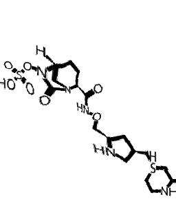 O=C(NOC[C@H]1C[C@@H](C[SH]2CCNCC2)CN1)[C@@H]1CC[C@@H]2CN1C(=O)N2OS(=O)(=O)O